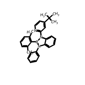 Cc1cccc(C)c1B1N(c2ccccc2)c2ccccc2N1c1cc(C(C)(C)C)ccn1